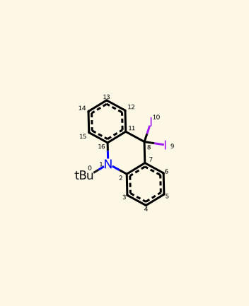 CC(C)(C)N1c2ccccc2C(I)(I)c2ccccc21